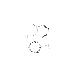 CN1C=CC=CC1N.CNc1ccccc1